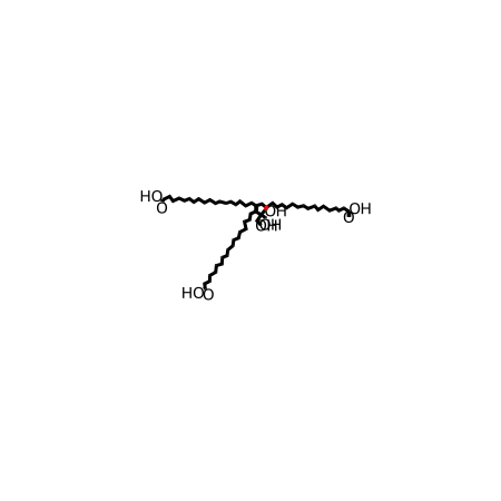 O=C(O)CCCCCCCCCCCCCCCCCC(CCCCCCCCCCCCCCCCCC(=O)O)=C(CCCCCCCCCCCCCCCCCC(=O)O)C(CO)(CO)CO